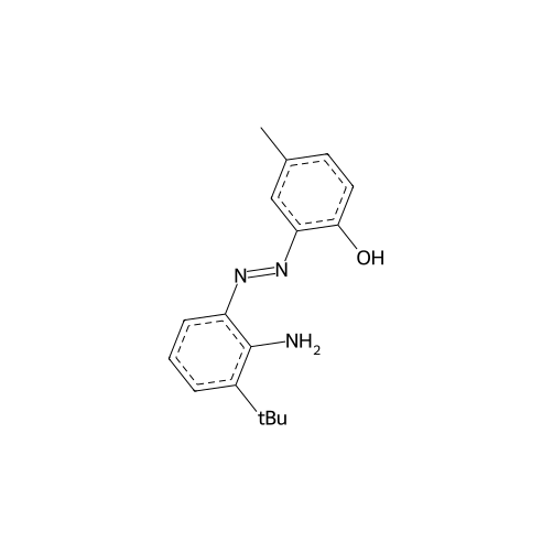 Cc1ccc(O)c(N=Nc2cccc(C(C)(C)C)c2N)c1